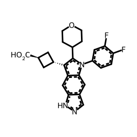 O=C(O)[C@H]1C[C@H](c2c(C3CCOCC3)n(-c3ccc(F)c(F)c3)c3cc4cn[nH]c4cc32)C1